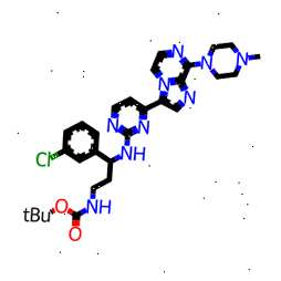 CN1CCN(c2nccn3c(-c4ccnc(NC(CCNC(=O)OC(C)(C)C)c5cccc(Cl)c5)n4)cnc23)CC1